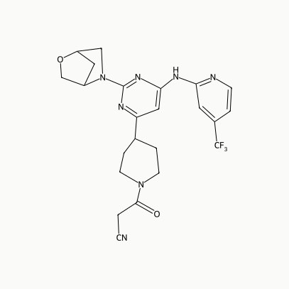 N#CCC(=O)N1CCC(c2cc(Nc3cc(C(F)(F)F)ccn3)nc(N3CC4CC3CO4)n2)CC1